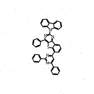 c1ccc(-c2cc(-c3cccc4c3sc3c(-c5ccccc5)nc(-n5c6ccccc6c6ccccc65)nc34)nc(-c3ccccc3)n2)cc1